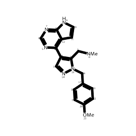 CNCc1c(-c2ncnc3[nH]ccc23)cnn1Cc1ccc(OC)cc1